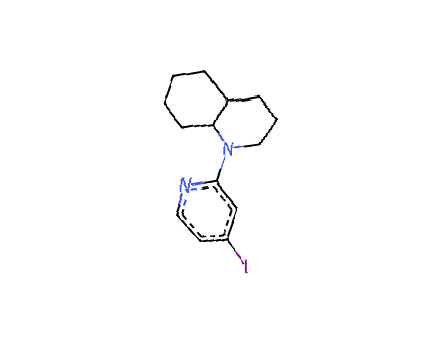 Ic1ccnc(N2CCCC3CCCCC32)c1